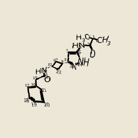 CC(C)C(=O)Nc1cc([C@H]2C[C@@H](NC(=O)Cc3ccccc3)C2)n[nH]1